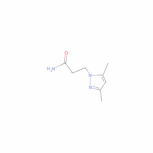 Cc1cc(C)n(C[CH]C(N)=O)n1